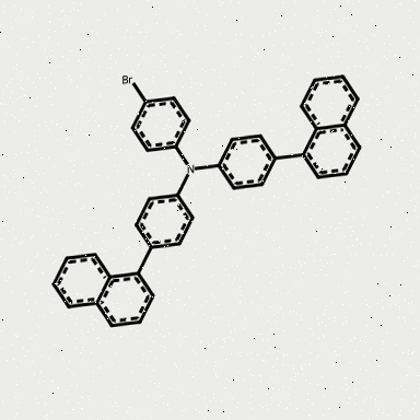 Brc1ccc(N(c2ccc(-c3cccc4ccccc34)cc2)c2ccc(-c3cccc4ccccc34)cc2)cc1